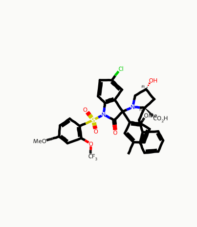 COc1ccc(S(=O)(=O)N2C(=O)C(c3cc(C)ccc3OC)(N3C[C@H](O)C[C@@]3(Cc3ccccc3)C(=O)O)c3cc(Cl)ccc32)c(OC(F)(F)F)c1